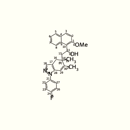 COc1ccc2ccccc2c1C(O)C[C@@]1(C)Cc2cnn(-c3ccc(F)cc3)c2C=C1C